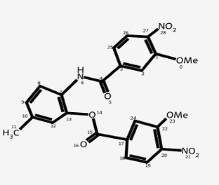 COc1cc(C(=O)Nc2ccc(C)cc2OC(=O)c2ccc([N+](=O)[O-])c(OC)c2)ccc1[N+](=O)[O-]